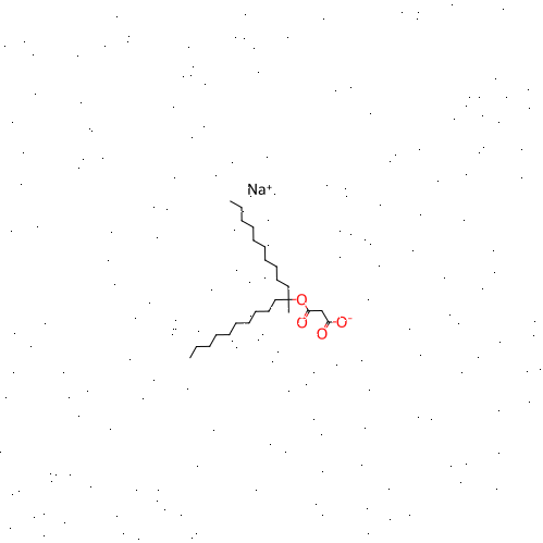 CCCCCCCCCCC(C)(CCCCCCCCCC)OC(=O)CC(=O)[O-].[Na+]